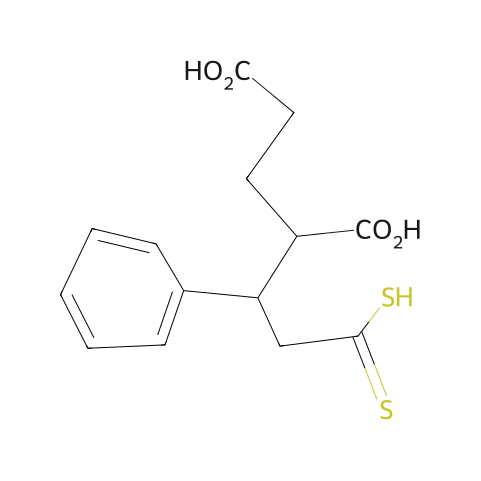 O=C(O)CCC(C(=O)O)C(CC(=S)S)c1ccccc1